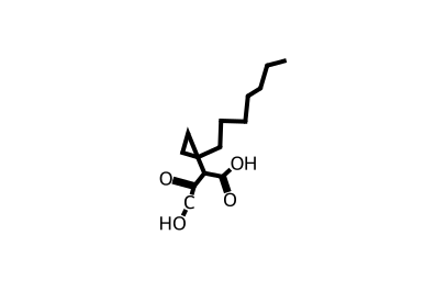 CCCCCCCC1(C(C(=O)O)C(=O)CO)CC1